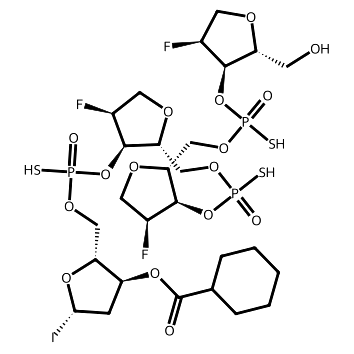 O=C(O[C@H]1C[C@H](I)O[C@@H]1COP(=O)(S)O[C@H]1[C@@H](F)CO[C@@H]1COP(=O)(S)O[C@H]1[C@@H](F)CO[C@@H]1COP(=O)(S)O[C@H]1[C@@H](F)CO[C@@H]1CO)C1CCCCC1